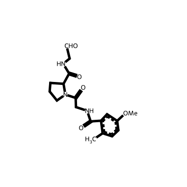 COc1ccc(C)c(C(=O)NCC(=O)N2CCCC2C(=O)NCC=O)c1